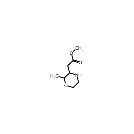 COC(=O)CC1NCCOC1C